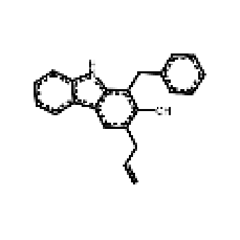 C=CCc1cc2c([nH]c3ccccc32)c(Cc2ccccc2)c1O